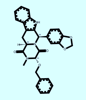 CN1C(=O)[C@H]2Cc3c([nH]c4ccccc34)[C@@H](c3ccc4c(c3)OCO4)N2C(=O)[C@@H]1OCc1ccccc1